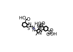 Cc1nn(-c2cc(S(=O)(=O)O)ccc2S(=O)(=O)O)c(N)c1/N=N/c1nc2c(C(=O)O)cccc2s1